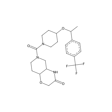 CC(OC1CCN(C(=O)N2CCC3OCC(=O)NC3C2)CC1)c1ccc(C(F)(F)F)cc1